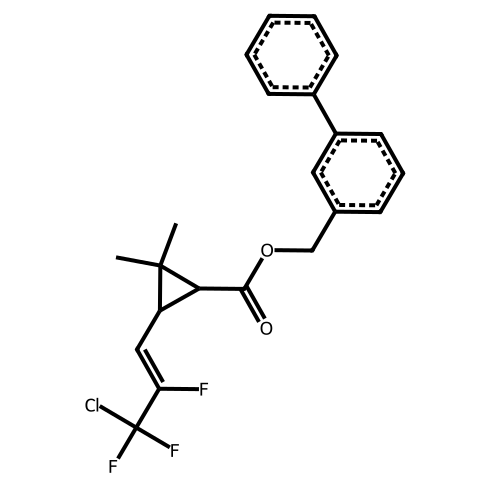 CC1(C)C(C=C(F)C(F)(F)Cl)C1C(=O)OCc1cccc(-c2ccccc2)c1